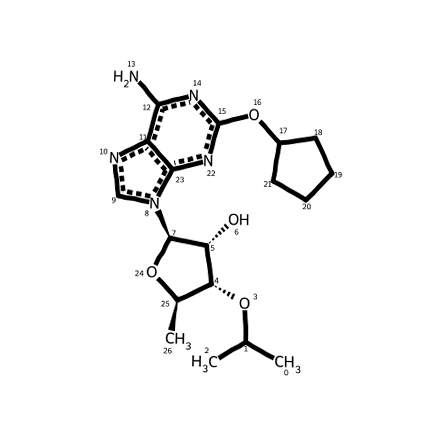 CC(C)O[C@H]1[C@@H](O)[C@H](n2cnc3c(N)nc(OC4CCCC4)nc32)O[C@@H]1C